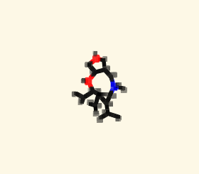 CC(C)C1OC2COCC2CN(C)C2C(C(C)C)C12C(C)C